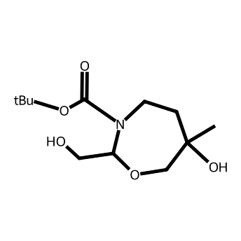 CC1(O)CCN(C(=O)OC(C)(C)C)C(CO)OC1